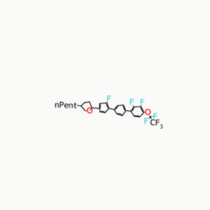 CCCCCC1CCC(c2ccc(-c3ccc(-c4ccc(OC(F)(F)C(F)(F)F)c(F)c4F)cc3)c(F)c2)OC1